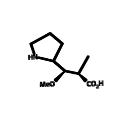 CO[C@@H](C1CCCN1)[C@@H](C)C(=O)O